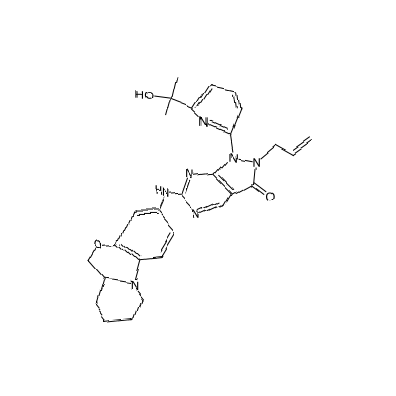 C=CCn1c(=O)c2cnc(Nc3ccc4c(c3)OCC3CCCCN43)nc2n1-c1cccc(C(C)(C)O)n1